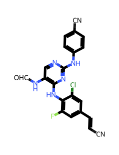 N#C/C=C/c1cc(F)c(Nc2nc(Nc3ccc(C#N)cc3)ncc2NC=O)c(Cl)c1